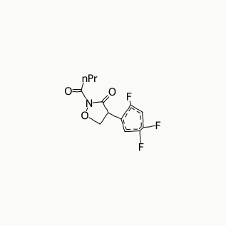 CCCC(=O)N1OCC(c2cc(F)c(F)cc2F)C1=O